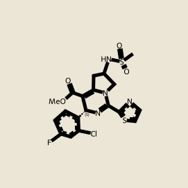 COC(=O)C1=C2CC(NS(C)(=O)=O)CN2C(c2nccs2)=N[C@@H]1c1ccc(F)cc1Cl